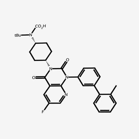 Cc1ccccc1-c1cccc(-n2c(=O)n([C@H]3CC[C@@H](N(C(=O)O)C(C)(C)C)CC3)c(=O)c3cc(F)cnc32)c1